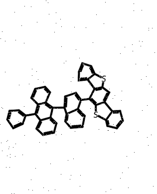 c1ccc(-c2c3ccccc3c(-c3ccc(-c4c5sc6ccccc6c5cc5sc6ccccc6c45)c4ccccc34)c3ccccc23)cc1